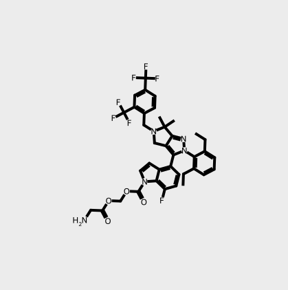 CCc1cccc(CC)c1-n1nc2c(c1-c1ccc(F)c3c1ccn3C(=O)OCOC(=O)CN)CN(Cc1ccc(C(F)(F)F)cc1C(F)(F)F)C2(C)C